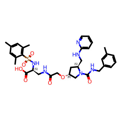 Cc1cccc(CNC(=O)N2C[C@H](OCC(=O)NC[C@H](NS(=O)(=O)c3c(C)cc(C)cc3C)C(=O)O)C[C@H]2CNc2ccccn2)c1